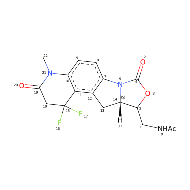 CC(=O)NCC1OC(=O)N2c3ccc4c(c3C[C@@H]12)C(F)(F)CC(=O)N4C